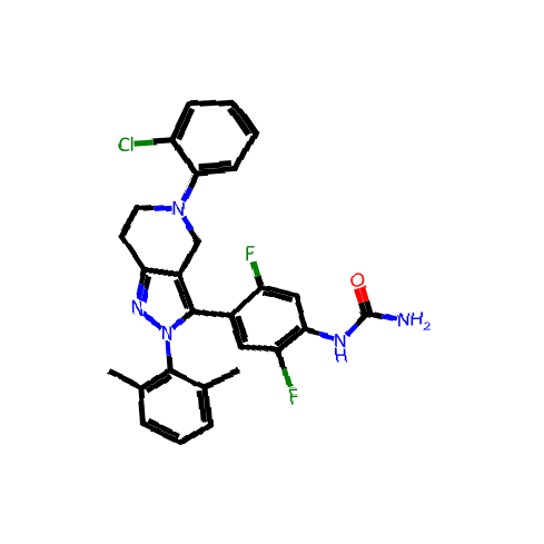 Cc1cccc(C)c1-n1nc2c(c1-c1cc(F)c(NC(N)=O)cc1F)CN(c1ccccc1Cl)CC2